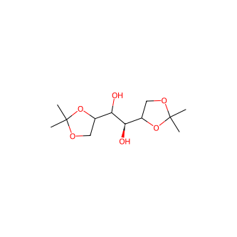 CC1(C)OCC(C(O)[C@H](O)C2COC(C)(C)O2)O1